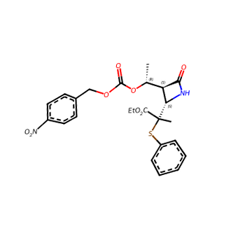 CCOC(=O)C(C)(Sc1ccccc1)[C@H]1NC(=O)[C@@H]1[C@@H](C)OC(=O)OCc1ccc([N+](=O)[O-])cc1